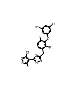 N#Cc1cc(Cl)cc(Oc2c(Cl)ccc(Cc3nnc(-c4c(Cl)nsc4Cl)o3)c2F)c1